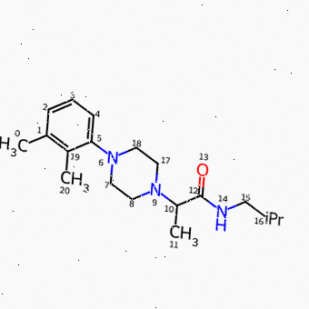 Cc1cccc(N2CCN(C(C)C(=O)NCC(C)C)CC2)c1C